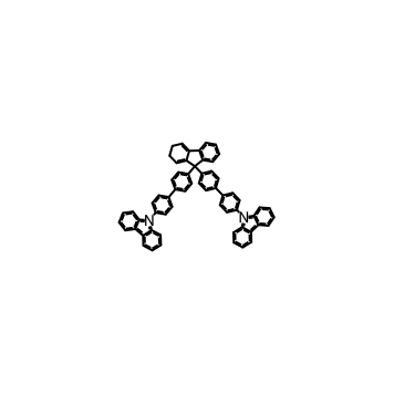 C1=C2C(=CCC1)C(c1ccc(-c3ccc(-n4c5ccccc5c5ccccc54)cc3)cc1)(c1ccc(-c3ccc(-n4c5ccccc5c5ccccc54)cc3)cc1)c1ccccc12